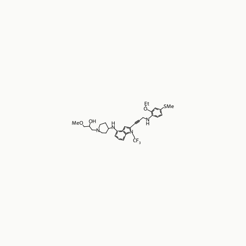 CCOc1cc(SC)ccc1NCC#Cc1cc2c(NC3CCN(CC(O)COC)CC3)cccc2n1CC(F)(F)F